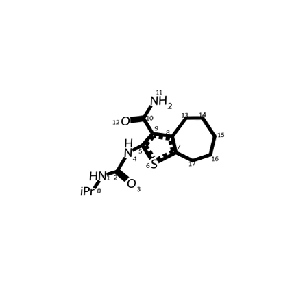 CC(C)NC(=O)Nc1sc2c(c1C(N)=O)CCCCC2